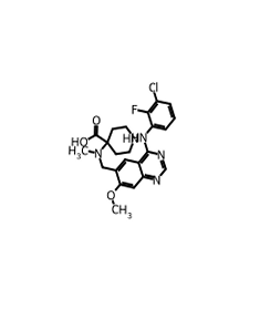 COc1cc2ncnc(Nc3cccc(Cl)c3F)c2cc1CN(C)C1(C(=O)O)CCNCC1